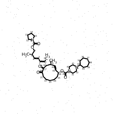 C/C(=C\C=C\[C@@H](C)COC(=O)N1CCCC1)[C@H]1C(=O)C(=O)CCCCC[C@@H](OC(=O)N2CCN(C3CCCCCC3)CC2)/C=C/[C@@H]1C